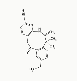 C=C1Nc2nc(C#N)ccc2CC(=O)c2cc(CC)ccc2C1(C)C